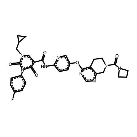 O=C(Nc1ccc(Oc2ncnc3c2CCN(C(=O)N2CCC2)C3)cn1)c1cn(CC2CC2)c(=O)n(-c2ccc(F)cc2)c1=O